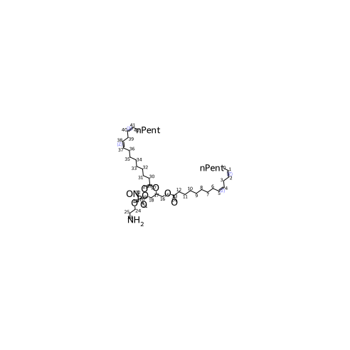 CCCCC/C=C\C/C=C\CCCCCCCC(=O)OCC(COP(=O)(N=O)OCCN)OC(=O)CCCCCCC/C=C\C/C=C\CCCCC